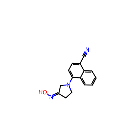 N#Cc1ccc(N2CC/C(=N/O)C2)c2ccccc12